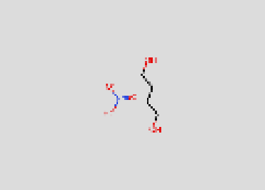 O=[N+]([O-])O.OCCCCO